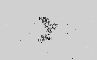 NC(=O)N(O)CCc1nc(-c2ccccc2)c(-c2ccc(S(N)(=O)=O)cc2)o1